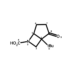 CC(C)(C)C12CN(C(=O)O)C1CCC2=O